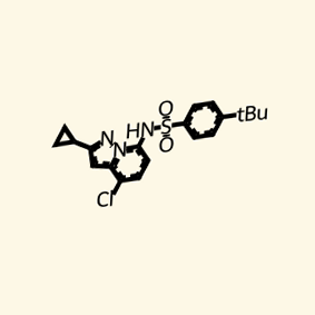 CC(C)(C)c1ccc(S(=O)(=O)Nc2ccc(Cl)c3cc(C4CC4)nn23)cc1